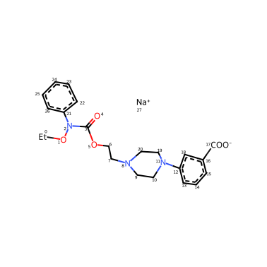 CCON(C(=O)OCCN1CCN(c2cccc(C(=O)[O-])c2)CC1)c1ccccc1.[Na+]